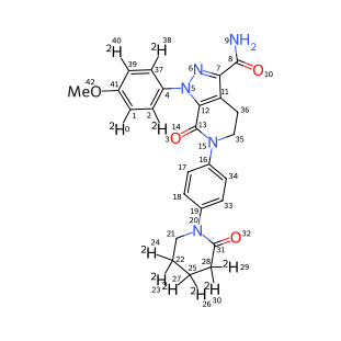 [2H]c1c([2H])c(-n2nc(C(N)=O)c3c2C(=O)N(c2ccc(N4CC([2H])([2H])C([2H])([2H])C([2H])([2H])C4=O)cc2)CC3)c([2H])c([2H])c1OC